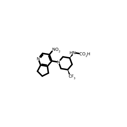 O=C(O)N[C@H]1C[C@@H](C(F)(F)F)CN(c2c([N+](=O)[O-])cnc3c2CCC3)C1